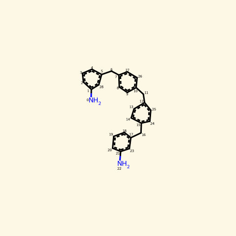 Nc1cccc(Cc2ccc(Cc3ccc(Cc4cccc(N)c4)cc3)cc2)c1